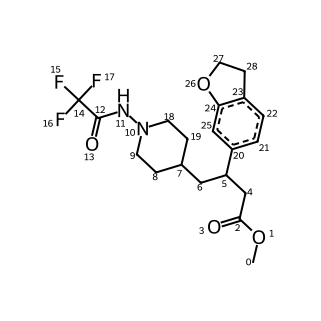 COC(=O)CC(CC1CCN(NC(=O)C(F)(F)F)CC1)c1ccc2c(c1)OCC2